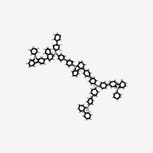 c1ccc(-c2ccc(N(c3ccc(-c4ccc(-n5c6ccccc6c6c(-c7ccc(-c8ccc(N(c9ccc(-c%10ccc(Nc%11ccccc%11-c%11ccccc%11)cc%10)cc9)c9ccc(-c%10ccc%11c%12ccccc%12n(-c%12ccccc%12)c%11c%10)cc9)cc8)cc7)cccc65)cc4)cc3)c3ccc(-c4ccc5c6ccccc6n(-c6ccccc6)c5c4)c4ccccc34)cc2)cc1